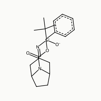 CC(C)(C)[S+]([O-])N=C1CC2CCC(C1)N2C(=O)OCc1ccccc1